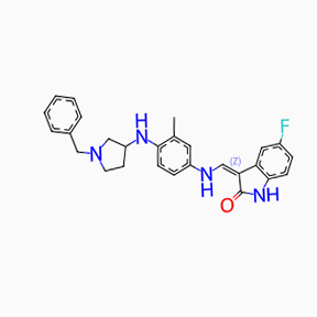 Cc1cc(N/C=C2\C(=O)Nc3ccc(F)cc32)ccc1NC1CCN(Cc2ccccc2)C1